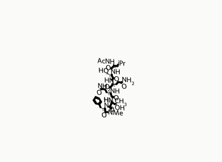 CNC(=O)[C@H](Cc1ccccc1)NC(=O)[C@@H](NC(=O)[C@H](CCC(N)=O)NC(=O)[C@H](CCC(N)=O)NC(=O)[C@H](CO)NC(=O)[C@H](CC(C)C)NC(C)=O)C(C)O